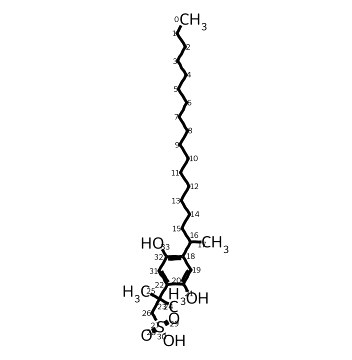 CCCCCCCCCCCCCCCCC(C)c1cc(O)c(C(C)(C)CS(=O)(=O)O)cc1O